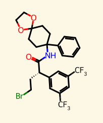 O=C(NC1(c2ccccc2)CCC2(CC1)OCCO2)[C@@H](CCBr)c1cc(C(F)(F)F)cc(C(F)(F)F)c1